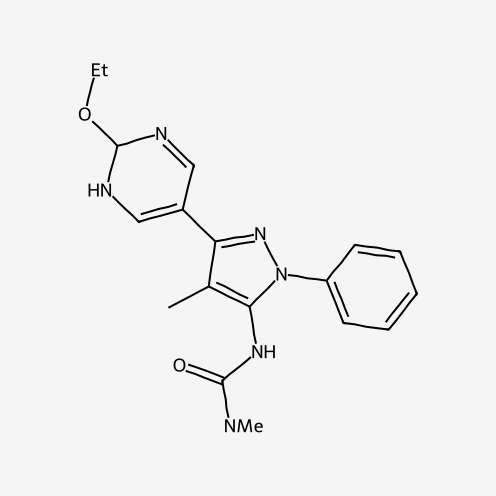 CCOC1N=CC(c2nn(-c3ccccc3)c(NC(=O)NC)c2C)=CN1